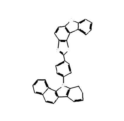 C1=Cc2c(n(-c3ccc(-c4nc5ccc6oc7ccccc7c6c5s4)cc3)c3c2ccc2ccccc23)CC1